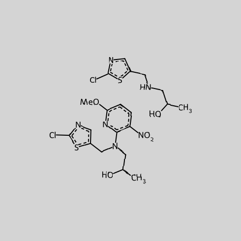 CC(O)CNCc1cnc(Cl)s1.COc1ccc([N+](=O)[O-])c(N(Cc2cnc(Cl)s2)CC(C)O)n1